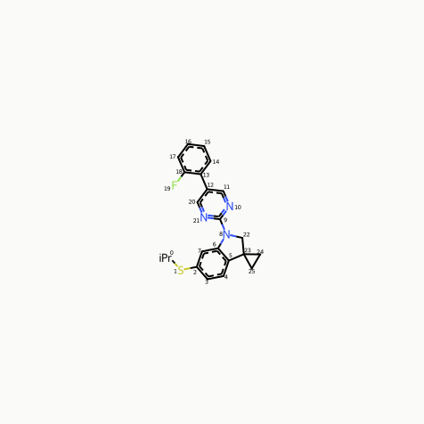 CC(C)Sc1ccc2c(c1)N(c1ncc(-c3ccccc3F)cn1)CC21CC1